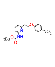 CC(C)(C)OC(=O)Nc1cccc(CCOc2ccc([N+](=O)[O-])cc2)n1